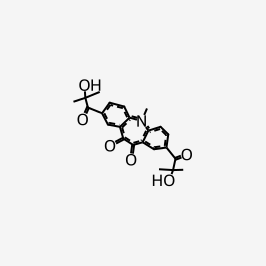 Cn1c2ccc(C(=O)C(C)(C)O)cc2c(=O)c(=O)c2cc(C(=O)C(C)(C)O)ccc21